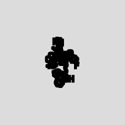 COc1ccc(F)cc1[C@H](Cn1c(=O)n(C2CCN(C)C2=O)c(=O)c2c(C)c(-n3nccn3)sc21)OCCCC(C)(C)[Si](O)(c1ccccc1)c1ccccc1